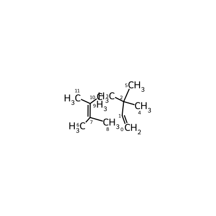 C=CC(C)(C)C.CC(C)=C(C)C